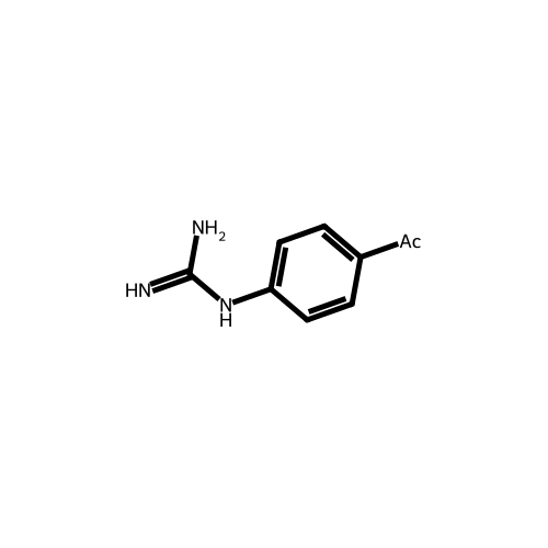 CC(=O)c1ccc(NC(=N)N)cc1